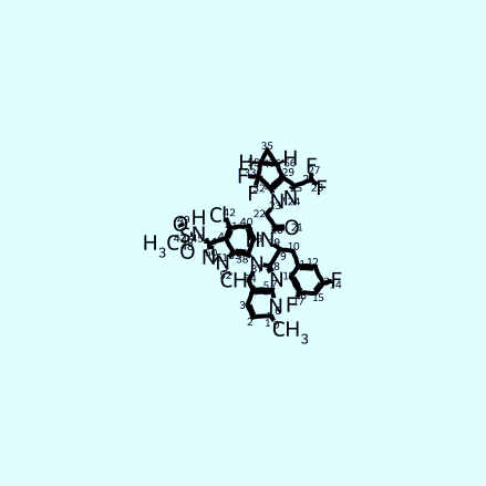 Cc1ccc2c(n1)N=C(C(Cc1cc(F)cc(F)c1)NC(=O)Cn1nc(C(F)F)c3c1C(F)(F)[C@@H]1C[C@H]31)N(c1ccc(Cl)c3c(NS(C)(=O)=O)nn(C)c13)C2